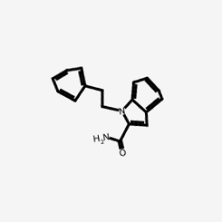 NC(=O)c1cc2ccccc2n1CCc1ccccc1